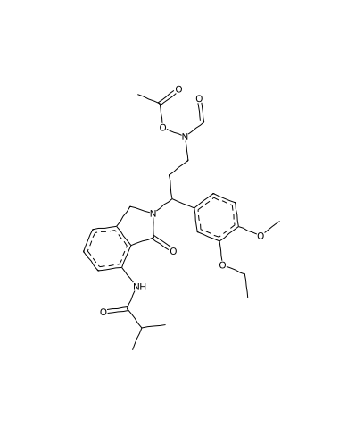 CCOc1cc(C(CCN(C=O)OC(C)=O)N2Cc3cccc(NC(=O)C(C)C)c3C2=O)ccc1OC